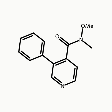 CON(C)C(=O)c1ccn[c]c1-c1ccccc1